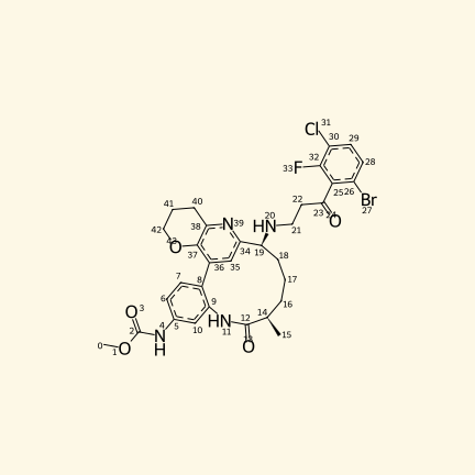 COC(=O)Nc1ccc2c(c1)NC(=O)[C@H](C)CCC[C@H](NCCC(=O)c1c(Br)ccc(Cl)c1F)c1cc-2c2c(n1)CCCO2